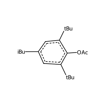 CCC(C)c1cc(C(C)(C)C)c(OC(C)=O)c(C(C)(C)C)c1